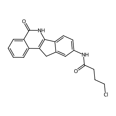 O=C(CCCCl)Nc1ccc2c(c1)Cc1c-2[nH]c(=O)c2ccccc12